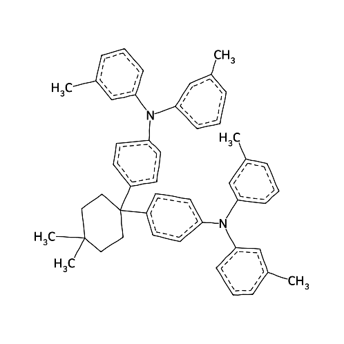 Cc1cccc(N(c2ccc(C3(c4ccc(N(c5cccc(C)c5)c5cccc(C)c5)cc4)CCC(C)(C)CC3)cc2)c2cccc(C)c2)c1